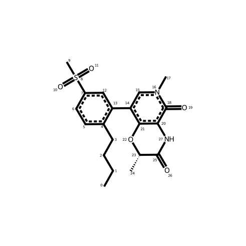 CCCCc1ccc(S(C)(=O)=O)cc1-c1cn(C)c(=O)c2c1O[C@@H](C)C(=O)N2